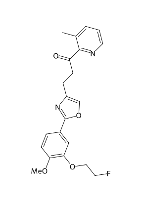 COc1ccc(-c2nc(CCC(=O)c3ncccc3C)co2)cc1OCCF